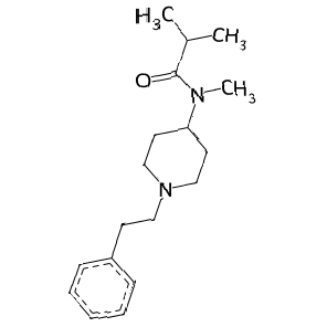 CC(C)C(=O)N(C)C1CCN(CCc2ccccc2)CC1